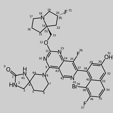 O=C1NCC2(CCCN(c3nc(OC[C@@]45CCCN4C[C@H](F)C5)nc4c(F)c(-c5cc(O)cc6ccc(F)c(Br)c56)ncc34)C2)N1